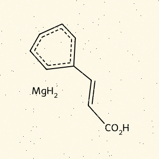 O=C(O)C=Cc1ccccc1.[MgH2]